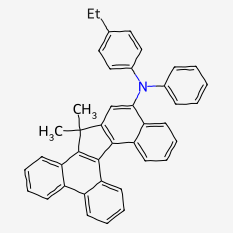 CCc1ccc(N(c2ccccc2)c2cc3c(c4ccccc24)-c2c(c4ccccc4c4ccccc24)C3(C)C)cc1